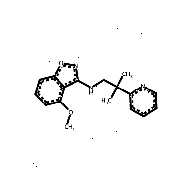 COc1cccc2onc(NCC(C)(C)c3ccccn3)c12